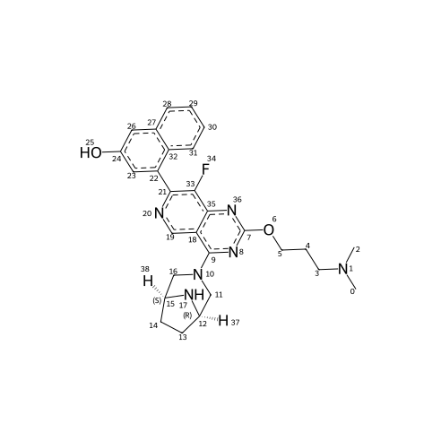 CN(C)CCCOc1nc(N2C[C@H]3CC[C@@H](C2)N3)c2cnc(-c3cc(O)cc4ccccc34)c(F)c2n1